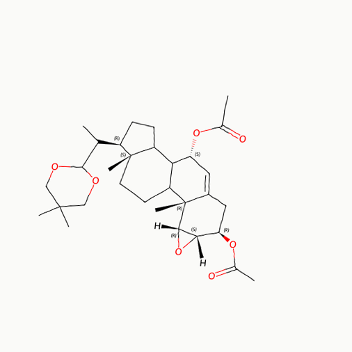 CC(=O)O[C@@H]1C=C2C[C@@H](OC(C)=O)[C@@H]3O[C@@H]3[C@]2(C)C2CC[C@@]3(C)C(CC[C@@H]3C(C)C3OCC(C)(C)CO3)C21